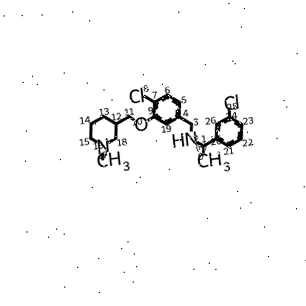 C[C@@H](NCc1ccc(Cl)c(OCC2CCCN(C)C2)c1)c1cccc(Cl)c1